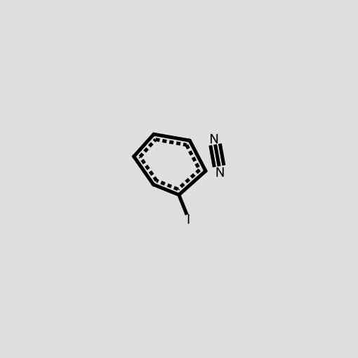 Ic1ccccc1.N#N